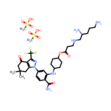 CC1(C)CC(=O)c2c(C(F)(F)F)nn(-c3ccc(C(N)=O)c(NC4CCC(OC(=O)CCNC[C@@H](N)CCCN)CC4)c3)c2C1.CS(=O)(=O)O.CS(=O)(=O)O